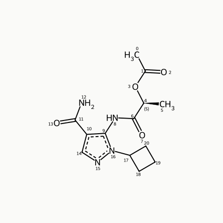 CC(=O)O[C@@H](C)C(=O)Nc1c(C(N)=O)cnn1C1CCC1